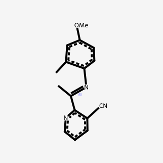 COc1ccc(/N=C(\C)c2ncccc2C#N)c(C)c1